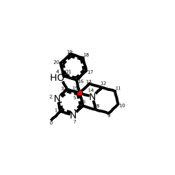 Cc1nc(O)c2c(n1)C1CCCC(C2)N1Cc1ccccc1